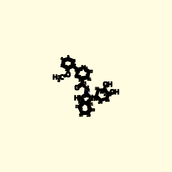 COc1ccccc1-c1cc(C(=O)/N=c2\[nH]c3ccccc3n2[C@@H]2CC[C@H](O)[C@H](O)C2)ccn1